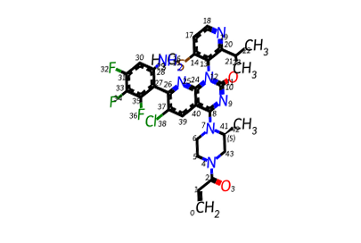 C=CC(=O)N1CCN(c2nc(=O)n(-c3c(SC)ccnc3C(C)C)c3nc(-c4c(N)cc(F)c(F)c4F)c(Cl)cc23)[C@@H](C)C1